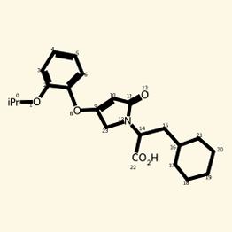 CC(C)Oc1ccccc1OC1=CC(=O)N(C(CC2CCCCC2)C(=O)O)C1